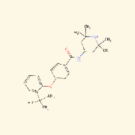 CC1(C)CC(NC(=O)c2ccc(Oc3ccccc3C(C)(C)C)cc2)CC(C)(C)N1